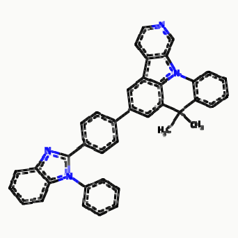 CC1(C)c2ccccc2-n2c3cnccc3c3cc(-c4ccc(-c5nc6ccccc6n5-c5ccccc5)cc4)cc1c32